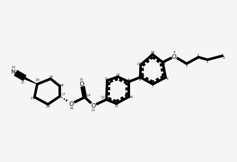 CCCCOc1ccc(-c2ccc(OC(=O)O[C@H]3CC[C@H](C#N)CC3)cc2)cc1